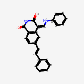 O=C1NC(=O)c2ccc(C=Cc3ccccc3)cc2C1=CNc1cc[c]cc1